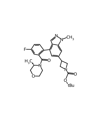 C[C@@H]1COCCN1C(=O)c1cc(F)ccc1-c1cc(C2CN(C(=O)OC(C)(C)C)C2)cc2c1cnn2C